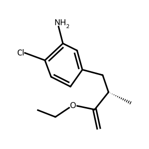 C=C(OCC)[C@@H](C)Cc1ccc(Cl)c(N)c1